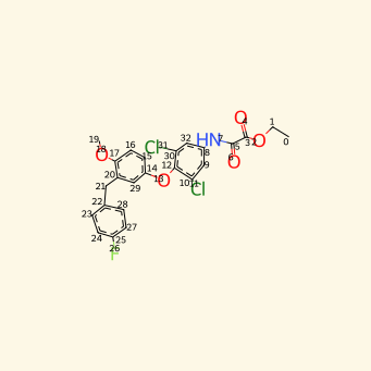 CCOC(=O)C(=O)Nc1cc(Cl)c(Oc2ccc(OC)c(Cc3ccc(F)cc3)c2)c(Cl)c1